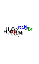 Cc1cc(CN2CCN(c3ccc(Br)cn3)CC2)cc(C)c1OC(C)(C)C(=O)O